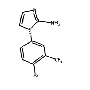 NC1=NC=C[SH]1c1ccc(Br)c(C(F)(F)F)c1